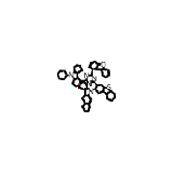 c1ccc(-n2c3ccccc3c3c(-c4nc(-c5cc6sc7ccccc7c6cc5-n5c6ccccc6c6cc7ccccc7cc65)nc(-c5cccc6oc7ccccc7c56)n4)cccc32)cc1